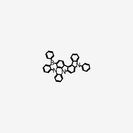 c1ccc(B2c3ccccc3N3c4ccccc4-n4c5ccc6c(c7ccccc7n6-c6ccccc6)c5c5ccc2c3c54)cc1